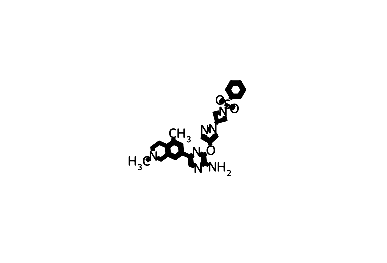 Cc1cc(-c2cnc(N)c(Oc3cnn(C4CN(S(=O)(=O)c5ccccc5)C4)c3)n2)cc2c1CCN(C)C2